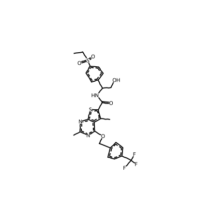 CCS(=O)(=O)c1ccc(C(CO)NC(=O)c2sc3nc(C)nc(OCc4ccc(C(F)(F)F)cc4)c3c2C)cc1